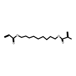 C=CC(=O)OCCCCCCCCCOC(=O)C(=C)C